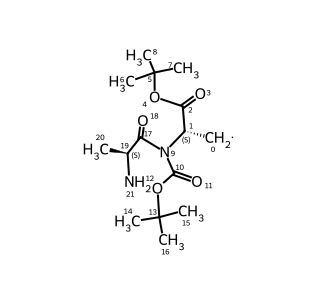 [CH2][C@@H](C(=O)OC(C)(C)C)N(C(=O)OC(C)(C)C)C(=O)[C@H](C)N